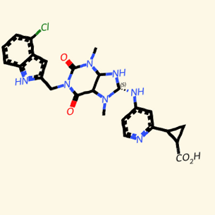 CN1C(=O)N(Cc2cc3c(Cl)cccc3[nH]2)C(=O)C2C1N[C@H](Nc1ccnc(C3CC3C(=O)O)c1)N2C